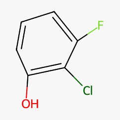 Oc1cccc(F)c1Cl